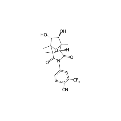 CC12OC(C)([C@H](O)[C@H]1O)C1(C)C(=O)N(c3ccc(C#N)c(C(F)(F)F)c3)C(=O)[C@@H]21